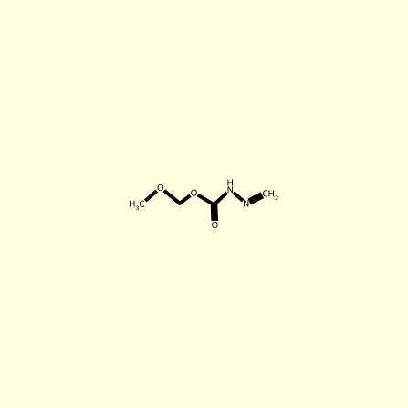 C=NNC(=O)OCOC